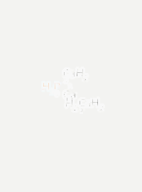 P.[CaH2].[CaH2].[CaH2]